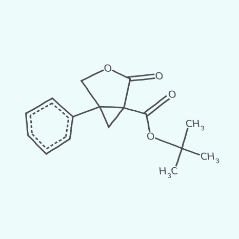 CC(C)(C)OC(=O)C12CC1(c1ccccc1)COC2=O